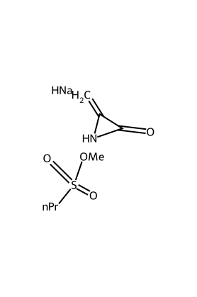 C=C1NC1=O.CCCS(=O)(=O)OC.[NaH]